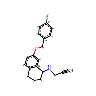 C#CCNC1CCCc2ccc(OCc3ccc(F)cc3)cc21